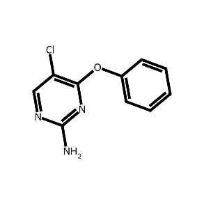 Nc1ncc(Cl)c(Oc2ccccc2)n1